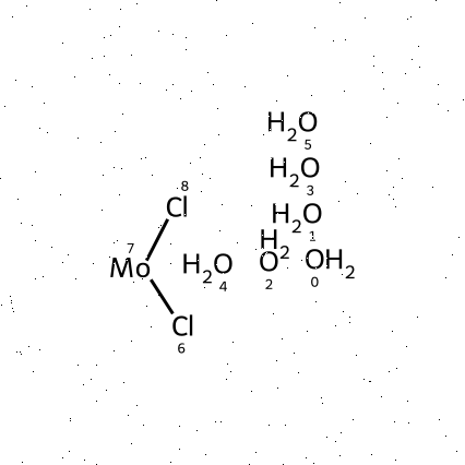 O.O.O.O.O.O.[Cl][Mo][Cl]